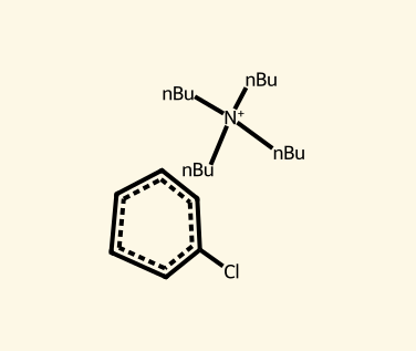 CCCC[N+](CCCC)(CCCC)CCCC.Clc1ccccc1